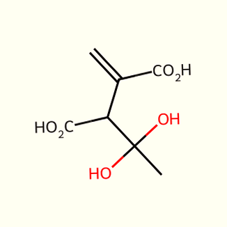 C=C(C(=O)O)C(C(=O)O)C(C)(O)O